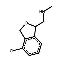 CNCC1OCc2c(Cl)cccc21